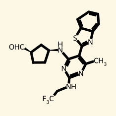 Cc1nc(NCC(F)(F)F)nc(N[C@H]2CC[C@@H](C=O)C2)c1-c1nc2ccccc2s1